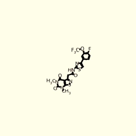 Cn1c(=O)c2c(CC(=O)Nc3nc(-c4ccc(F)c(OC(F)(F)F)c4)cs3)nsc2n(C)c1=O